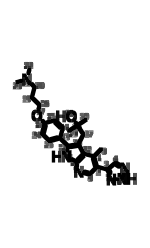 Cc1c(-c2cn[nH]n2)cnc2[nH]c(-c3ccc(OCCCN(C)C)cc3)c(CC(C)(C)O)c12